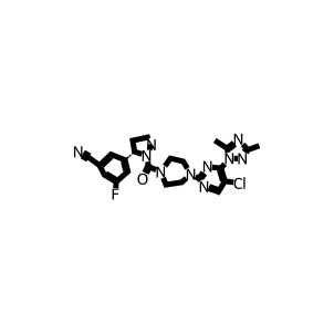 Cc1nc(C)n(-c2nc(N3CCN(C(=O)N4N=CC[C@H]4c4cc(F)cc(C#N)c4)CC3)ncc2Cl)n1